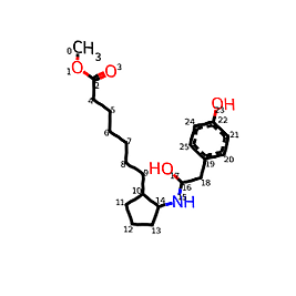 COC(=O)CCCCCCC1CCCC1NC(O)Cc1ccc(O)cc1